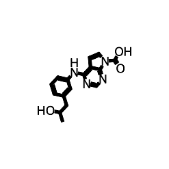 CC(O)Cc1cccc(Nc2ncnc3c2ccn3C(=O)O)c1